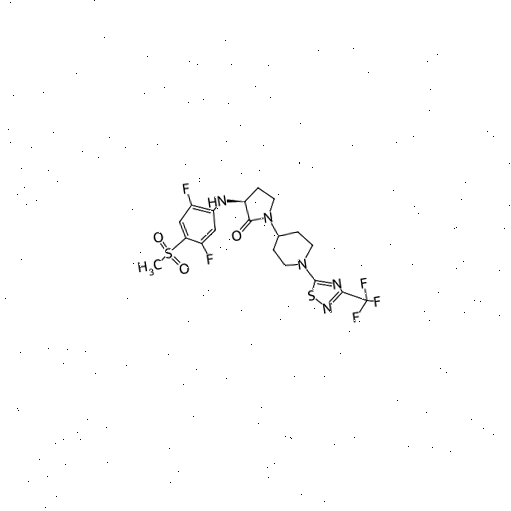 CS(=O)(=O)c1cc(F)c(N[C@H]2CCN(C3CCN(c4nc(C(F)(F)F)ns4)CC3)C2=O)cc1F